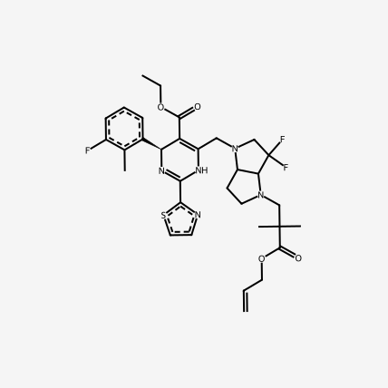 C=CCOC(=O)C(C)(C)CN1CCC2C1C(F)(F)CN2CC1=C(C(=O)OCC)[C@H](c2cccc(F)c2C)N=C(c2nccs2)N1